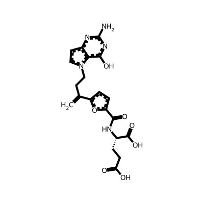 C=C(CCn1ccc2nc(N)nc(O)c21)c1ccc(C(=O)N[C@@H](CCC(=O)O)C(=O)O)o1